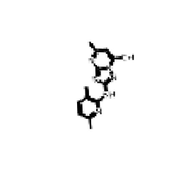 Cc1ccc(C)c(Nc2nc3nc(C)cc(O)n3n2)n1